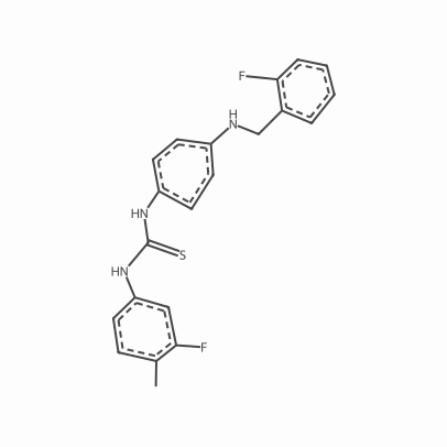 Cc1ccc(NC(=S)Nc2ccc(NCc3ccccc3F)cc2)cc1F